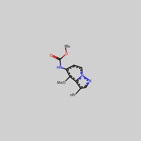 CCCc1cnn2ccc(NC(=O)OC(C)(C)C)c(OC)c12